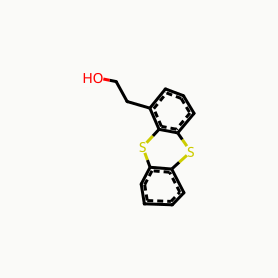 OCCc1cccc2c1Sc1ccccc1S2